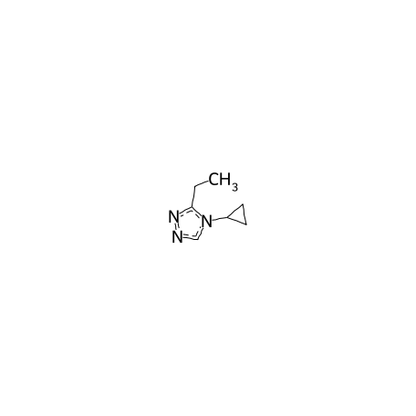 CCc1nncn1C1CC1